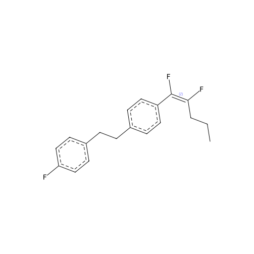 CCC/C(F)=C(/F)c1ccc(CCc2ccc(F)cc2)cc1